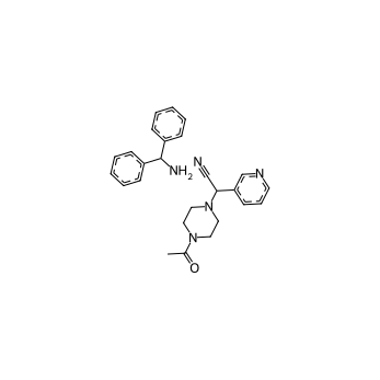 CC(=O)N1CCN(C(C#N)c2cccnc2)CC1.NC(c1ccccc1)c1ccccc1